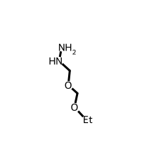 CCOCOCNN